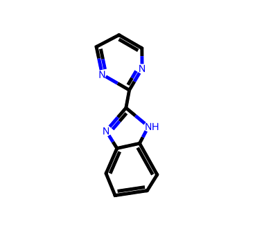 c1cnc(-c2nc3ccccc3[nH]2)nc1